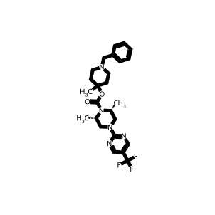 C[C@@H]1CN(c2ncc(C(F)(F)F)cn2)C[C@H](C)N1C(=O)OC1(C)CCN(Cc2ccccc2)CC1